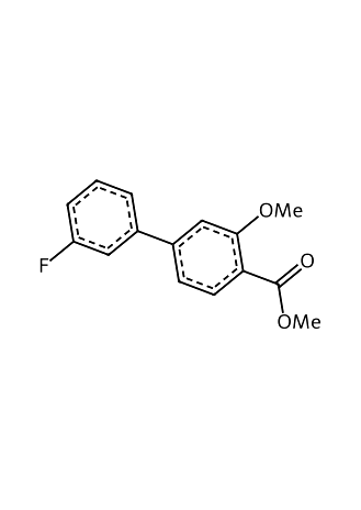 COC(=O)c1ccc(-c2cccc(F)c2)cc1OC